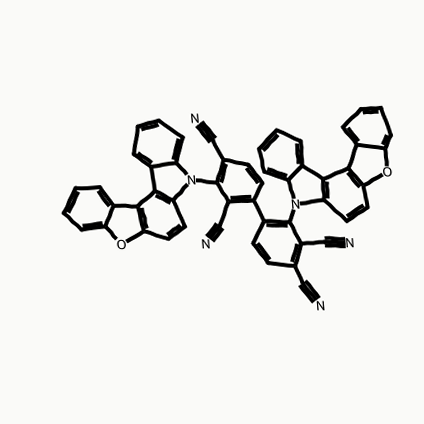 N#Cc1ccc(-c2ccc(C#N)c(-n3c4ccccc4c4c5c(ccc43)oc3ccccc35)c2C#N)c(-n2c3ccccc3c3c4c(ccc32)oc2ccccc24)c1C#N